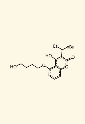 CCCCC(CC)c1c(O)c2c(OCCCCO)cccc2oc1=O